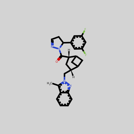 Cc1c2ccccc2nn1C[C@@H]1C[C@H](C(=O)N2N=CCC2c2cc(F)cc(F)c2)C2CC1C2